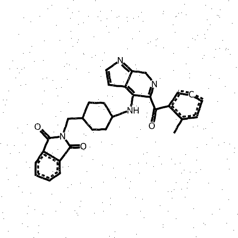 Cc1ccccc1C(=O)C1=NCC2=NC=CC2=C1NC1CCC(CN2C(=O)c3ccccc3C2=O)CC1